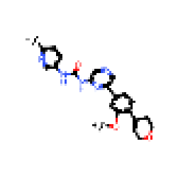 COc1cc(-c2cncc(NC(=O)Nc3ccc(C)nc3)n2)ccc1C1=CCOCC1